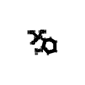 O=[SH](O)(O)c1ccccc1.[NaH]